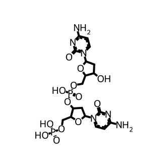 Nc1ccn(C2CC(O)C(COP(=O)(O)OC3CC(n4ccc(N)nc4=O)OC3COP(=O)(O)O)O2)c(=O)n1